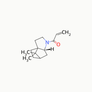 C=CC(=O)N1CCC23CCC(C[C@@H]12)C3(C)C